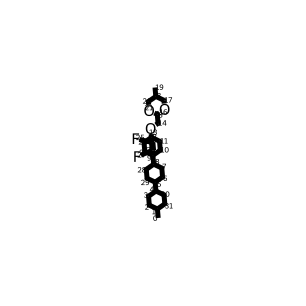 CC1CCC(C2CCC(C34CCC(OCC5OCC(C)CO5)(CC3)C(F)=C4F)CC2)CC1